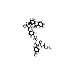 CCCC(=O)N(CCCOc1ccc(CC(Nc2ccccc2C(=O)c2ccccc2)C(=O)O)cc1)c1ccc(Cl)cc1